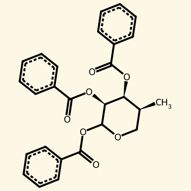 C[C@H]1COC(OC(=O)c2ccccc2)[C@@H](OC(=O)c2ccccc2)[C@H]1OC(=O)c1ccccc1